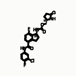 O=C1CC[C@@H](COC(=O)N[C@H]2CCc3c(C(=O)Nc4ccc(F)c(Cl)c4)ccc(F)c32)N1